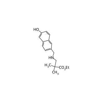 CCOC(=O)C(C)(C)CNCc1ccc2cc(O)ccc2c1